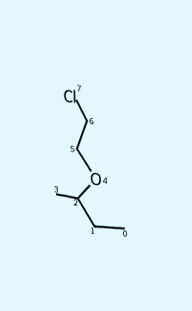 CCC(C)OCCCl